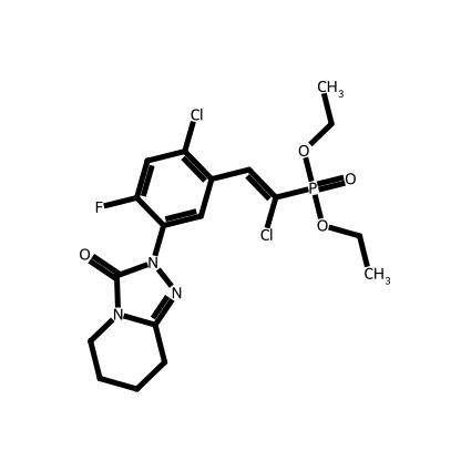 CCOP(=O)(OCC)C(Cl)=Cc1cc(-n2nc3n(c2=O)CCCC3)c(F)cc1Cl